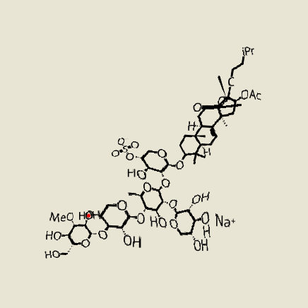 CO[C@@H]1[C@@H](O)[C@H](O[C@@H]2[C@@H](O)[C@H](O[C@H]3[C@H](O)[C@@H](O[C@@H]4OC[C@@H](O)[C@H](O)[C@H]4O)[C@H](O[C@H]4[C@H](OC5CC[C@]6(C)[C@H]7CCC89C(=O)O[C@@](C)(CCCC(C)C)C8[C@@H](OC(C)=O)C[C@@]9(C)C7=CC[C@H]6C5(C)C)OC[C@@H](OS(=O)(=O)[O-])[C@@H]4O)O[C@@H]3C)OC[C@H]2O)O[C@H](CO)[C@H]1O.[Na+]